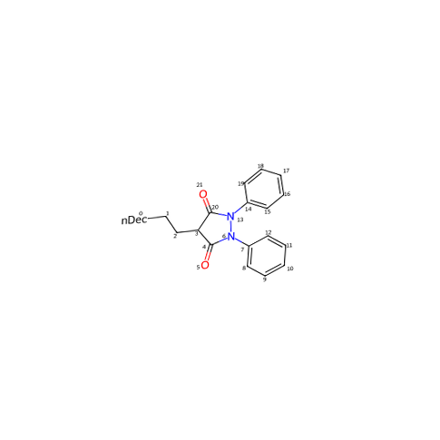 CCCCCCCCCCCCC1C(=O)N(c2ccccc2)N(c2ccccc2)C1=O